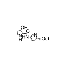 CCCCCCCCc1ccc(NC(=O)[C@H]2NCC[C@@H]2O)cn1